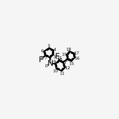 CN(c1ccccc1F)c1cccc(-c2ccccc2)c1F